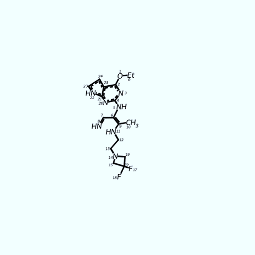 CCOc1nc(N/C(C=N)=C(\C)NCCN2CC(F)(F)C2)nc2[nH]ccc12